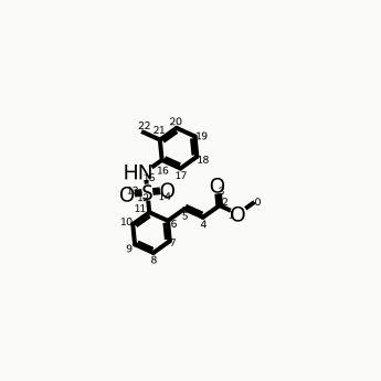 COC(=O)C=Cc1ccccc1S(=O)(=O)Nc1ccccc1C